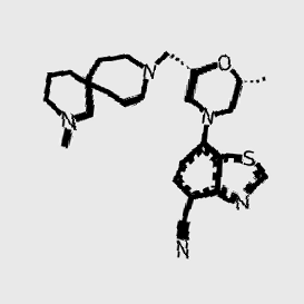 C[C@@H]1CN(c2ccc(C#N)c3ncsc23)C[C@H](CN2CCC3(CCCN(C)C3)CC2)O1